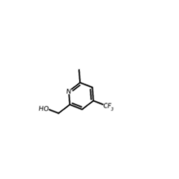 Cc1cc(C(F)(F)F)cc(CO)n1